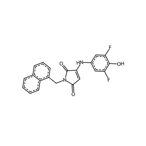 O=C1C=C(Nc2cc(F)c(O)c(F)c2)C(=O)N1Cc1cccc2ccccc12